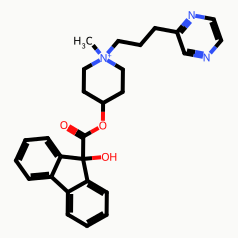 C[N+]1(CCCc2cnccn2)CCC(OC(=O)C2(O)c3ccccc3-c3ccccc32)CC1